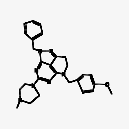 COc1ccc(CN2CCc3nn(Cc4ccccc4)c4nc(N5CCN(C)CC5)nc2c34)cc1